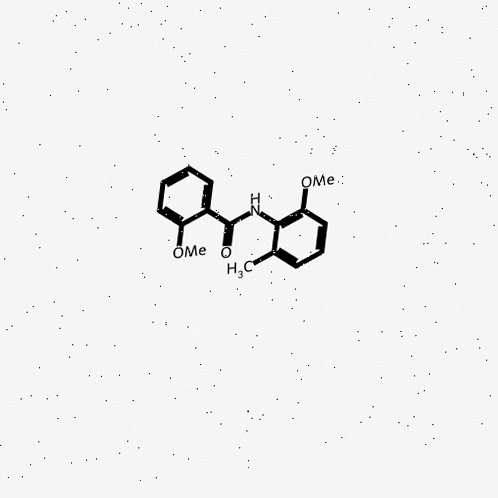 COc1ccccc1C(=O)Nc1c(C)cccc1OC